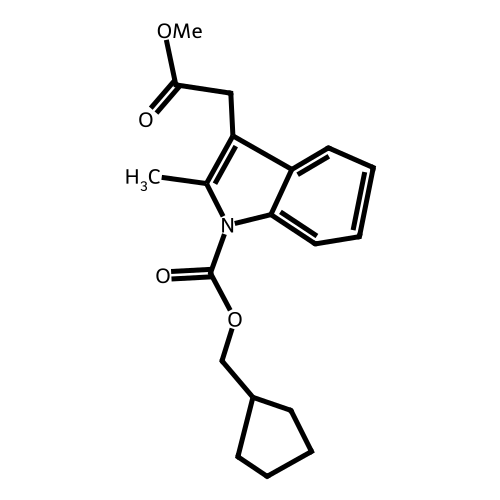 COC(=O)Cc1c(C)n(C(=O)OCC2CCCC2)c2ccccc12